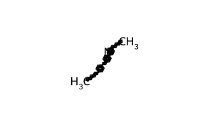 CCCCCCC[C@H]1CC[C@H](CCc2ccc(-c3ccc(CCCCCC)cn3)cc2)CC1